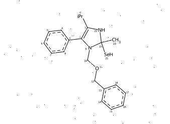 CC(C)C1=C(c2ccccc2)N(COCc2ccccc2)C(C)([SeH])N1